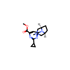 COC(=O)c1cc(N2[C@@H]3CC[C@H]2CN(C)C3)nc(C2CC2)n1